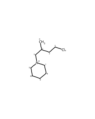 CC(CCCl)CN1CCCCC1